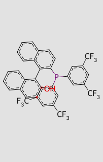 Oc1ccc2ccccc2c1-c1c(P(c2cc(C(F)(F)F)cc(C(F)(F)F)c2)c2cc(C(F)(F)F)cc(C(F)(F)F)c2)ccc2ccccc12